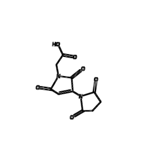 O=C(O)CN1C(=O)C=C(N2C(=O)CCC2=O)C1=O